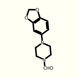 O=CN1CCN(c2ccc3c(c2)OCO3)CC1